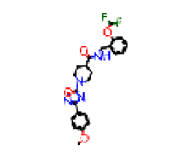 COc1ccc(-c2noc(N3CCC(C(=O)NCc4ccccc4OC(F)F)CC3)n2)cc1